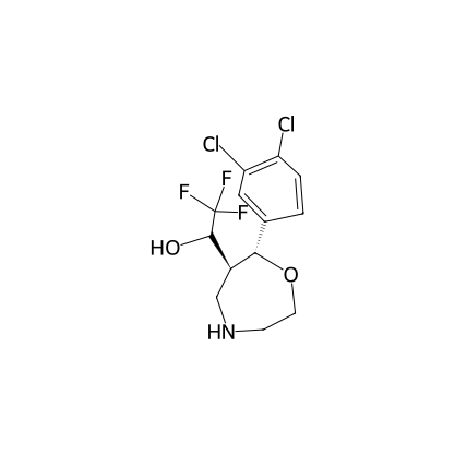 OC([C@@H]1CNCCO[C@H]1c1ccc(Cl)c(Cl)c1)C(F)(F)F